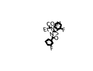 CCC(C(=O)O)n1/c(=N/C(=O)c2cccc(F)c2)sc2c(F)cccc21